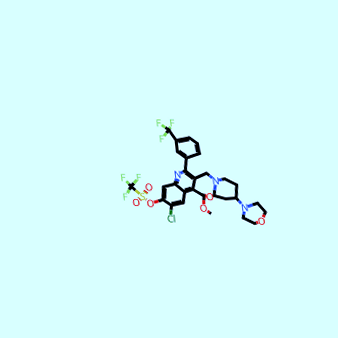 COC(=O)c1c(CN2CCC(N3CCOCC3)CC2)c(-c2cccc(C(F)(F)F)c2)nc2cc(OS(=O)(=O)C(F)(F)F)c(Cl)cc12